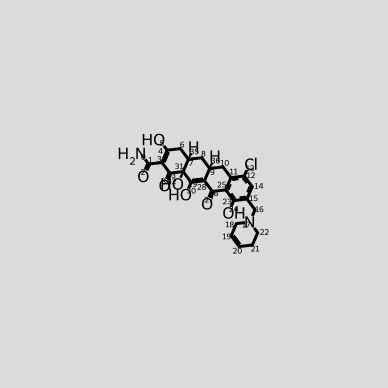 NC(=O)C1=C(O)C[C@@H]2C[C@@H]3Cc4c(Cl)cc(CN5CC=CCC5)c(O)c4C(=O)C3=C(O)[C@]2(O)C1=O